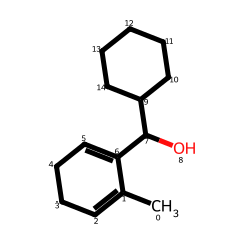 CC1=C[CH]CC=C1C(O)C1CCCCC1